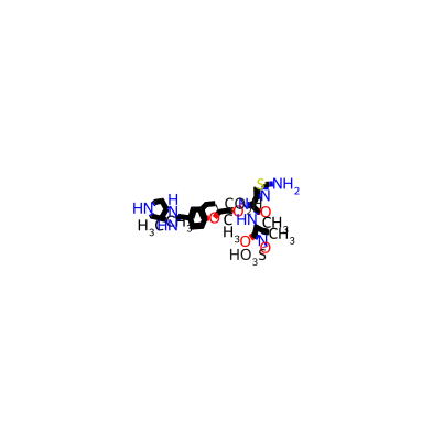 CC1(C)CNCCC1NC(=N)c1ccc2c(c1)CC[C@H]([C@](C)(O/N=C(\C(=O)N[C@@H]1C(=O)N(OS(=O)(=O)O)C1(C)C)c1csc(N)n1)C(=O)O)O2